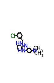 CN(C)c1ccc2c(c1)N=C(NCc1cccc(Cl)c1)C1(CCCCC1)N2